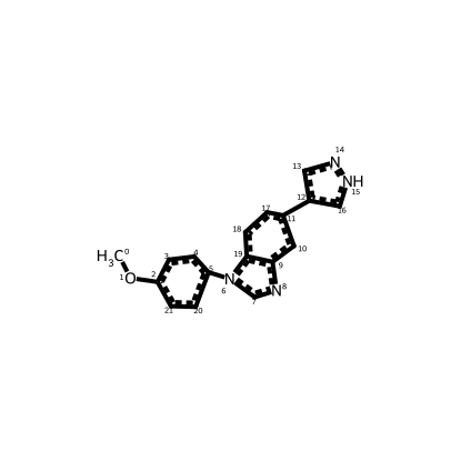 COc1ccc(-n2cnc3cc(-c4cn[nH]c4)ccc32)cc1